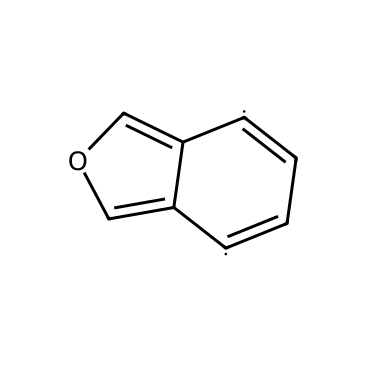 [c]1cc[c]c2cocc12